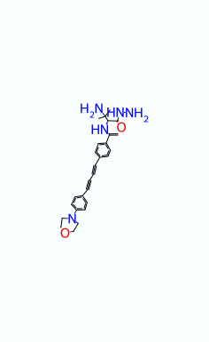 C=C(N[C@H](C(=O)NN)C(C)(C)N)c1ccc(C#CC#Cc2ccc(N3CCOCC3)cc2)cc1